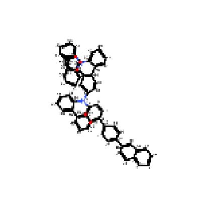 c1ccc(-c2cc(N(c3ccc(-c4ccc(-c5ccc6ccccc6c5)cc4)cc3)c3ccccc3-c3ccccc3)ccc2-c2ccccc2-n2c3ccccc3c3ccccc32)cc1